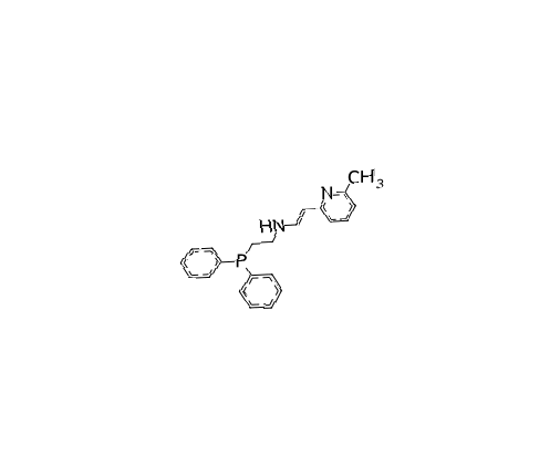 Cc1cccc(/C=C/NCCP(c2ccccc2)c2ccccc2)n1